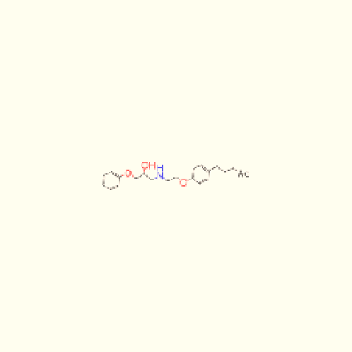 CC(=O)CCCc1ccc(OCCNCC(O)COc2ccccc2)cc1